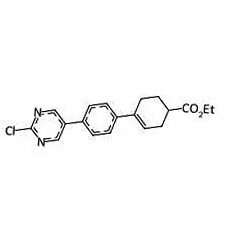 CCOC(=O)C1CC=C(c2ccc(-c3cnc(Cl)nc3)cc2)CC1